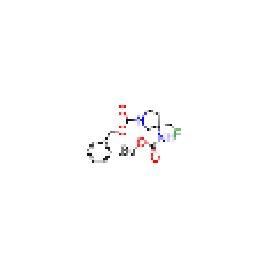 CC(C)(C)OC(=O)NC1(CF)CCN(C(=O)OCc2ccccc2)C1